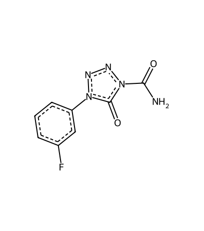 NC(=O)n1nnn(-c2cccc(F)c2)c1=O